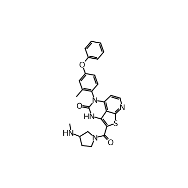 CNC1CCN(C(=O)c2sc3nccc4c3c2NC(=O)N4c2ccc(Oc3ccccc3)cc2C)C1